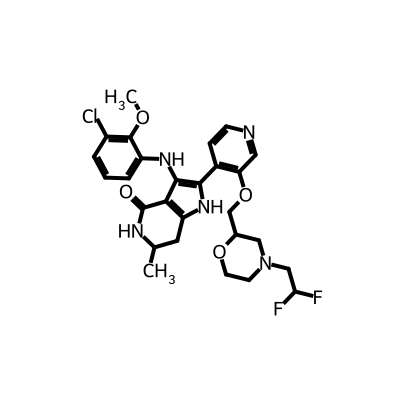 COc1c(Cl)cccc1Nc1c(-c2ccncc2OCC2CN(CC(F)F)CCO2)[nH]c2c1C(=O)NC(C)C2